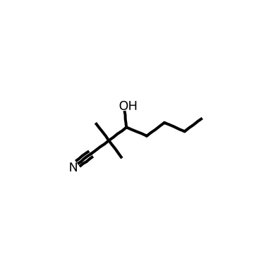 CCCCC(O)C(C)(C)C#N